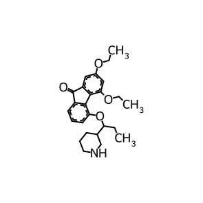 CCOc1cc(OCC)c2c(c1)C(=O)c1cccc(OC(CC)C3CCCNC3)c1-2